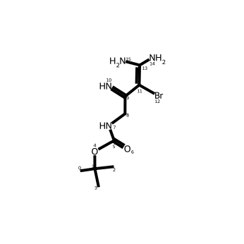 CC(C)(C)OC(=O)NCC(=N)C(Br)=C(N)N